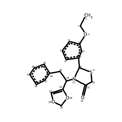 CCOc1cccc(C2SCC(=O)N2C(Cc2ccccc2)C2=COCO2)c1